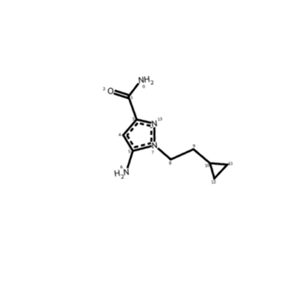 NC(=O)c1cc(N)n(CCC2CC2)n1